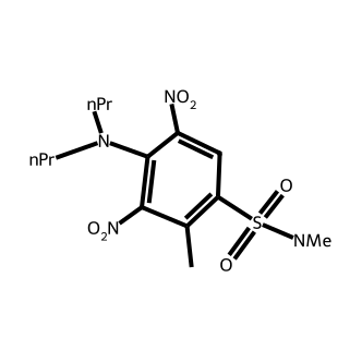 CCCN(CCC)c1c([N+](=O)[O-])cc(S(=O)(=O)NC)c(C)c1[N+](=O)[O-]